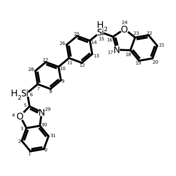 c1ccc2oc([SiH2]c3ccc(-c4ccc([SiH2]c5nc6ccccc6o5)cc4)cc3)nc2c1